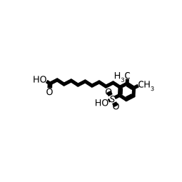 Cc1ccc(S(=O)(=O)O)c(CCCCCCCCCC(=O)O)c1C